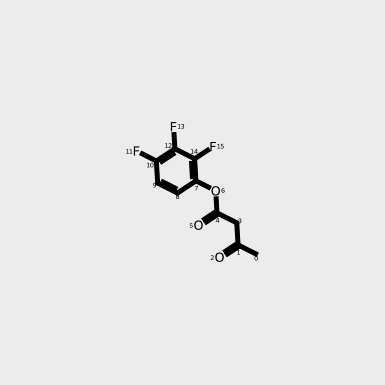 CC(=O)CC(=O)Oc1ccc(F)c(F)c1F